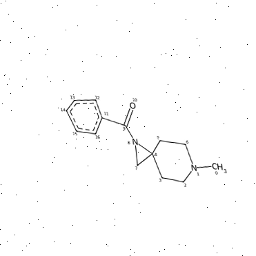 CN1CCC2(CC1)CN2C(=O)c1ccccc1